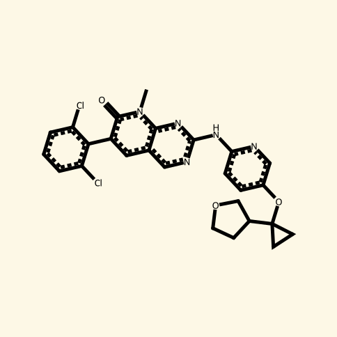 Cn1c(=O)c(-c2c(Cl)cccc2Cl)cc2cnc(Nc3ccc(OC4(C5CCOC5)CC4)cn3)nc21